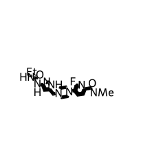 CCNC(=O)Nc1cc(CN2CCN(c3ccc(C(=O)NC)nc3F)CC2)[nH]n1